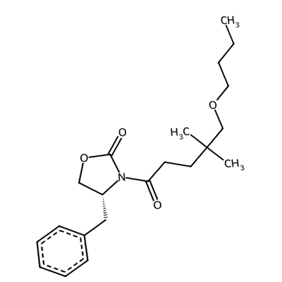 CCCCOCC(C)(C)CCC(=O)N1C(=O)OC[C@H]1Cc1ccccc1